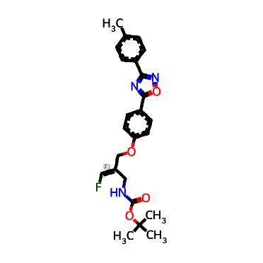 Cc1ccc(-c2noc(-c3ccc(OC/C(=C/F)CNC(=O)OC(C)(C)C)cc3)n2)cc1